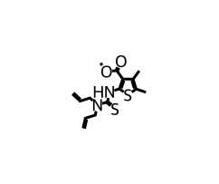 C=CCN(CC=C)C(=S)Nc1sc(C)c(C)c1C(=O)OC